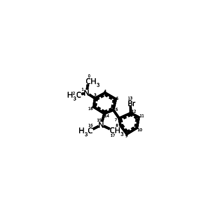 CN(C)c1ccc(-c2ccccc2Br)c(N(C)C)c1